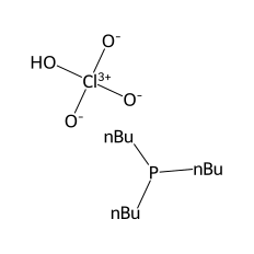 CCCCP(CCCC)CCCC.[O-][Cl+3]([O-])([O-])O